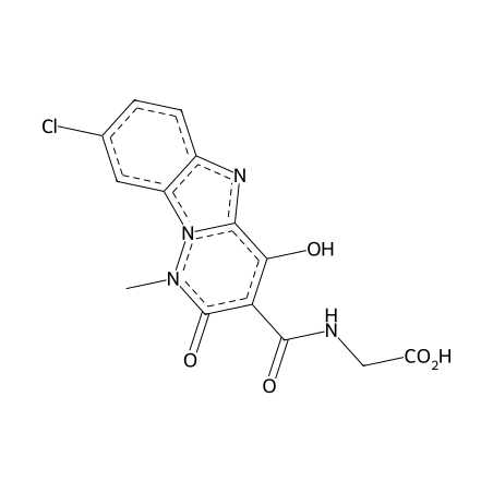 Cn1c(=O)c(C(=O)NCC(=O)O)c(O)c2nc3ccc(Cl)cc3n21